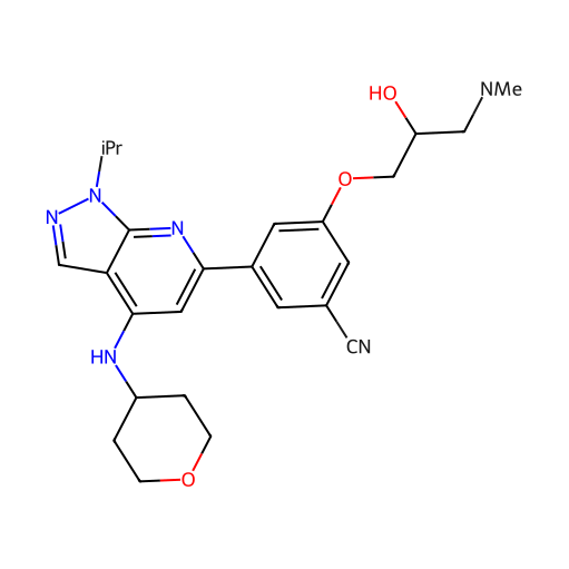 CNCC(O)COc1cc(C#N)cc(-c2cc(NC3CCOCC3)c3cnn(C(C)C)c3n2)c1